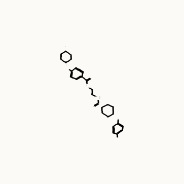 O=C(NCCNC(=O)[C@H]1CC[C@@H](Oc2ccc(F)cc2)CC1)c1ccc(O[C@H]2CC[C@@H](C(=O)O)CC2)cc1